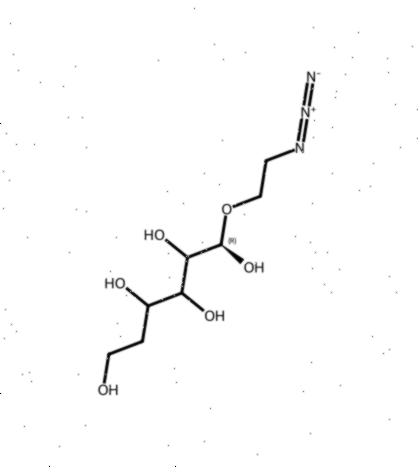 [N-]=[N+]=NCCO[C@@H](O)C(O)C(O)C(O)CCO